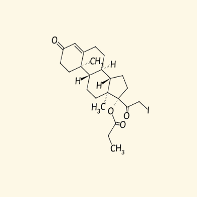 CCC(=O)O[C@@]1(C(=O)CI)CC[C@H]2[C@@H]3CCC4=CC(=O)CC[C@]4(C)[C@H]3CC[C@@]21C